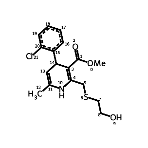 COC(=O)C1=C(CSCCO)NC(C)=CC1c1ccccc1Cl